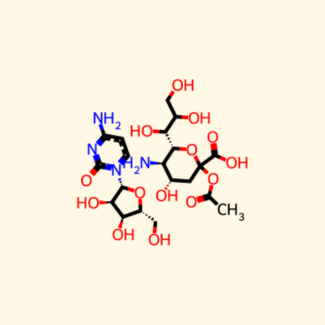 CC(=O)OC1(C(=O)O)C[C@H](O)[C@@H](N)[C@H](C(O)C(O)CO)O1.Nc1ccn([C@@H]2O[C@H](CO)[C@@H](O)[C@H]2O)c(=O)n1